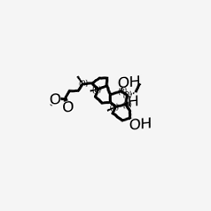 CC[C@H]1[C@@H](O)C2C3CCC([C@H](C)CCC(=O)OC)[C@@]3(C)CCC2[C@@]2(C)CCC(O)C[C@@H]12